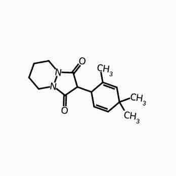 CC1=CC(C)(C)C=CC1C1C(=O)N2CCCCN2C1=O